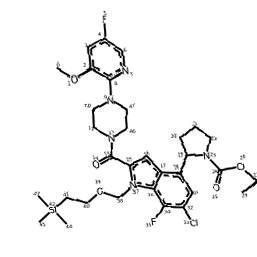 COc1cc(F)cnc1N1CCN(C(=O)c2cc3c(C4CCCN4C(=O)OC(C)(C)C)cc(Cl)c(F)c3n2COCC[Si](C)(C)C)CC1